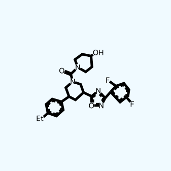 CCc1ccc(C2CC(c3nc(-c4cc(F)ccc4F)no3)CN(C(=O)N3CCC(O)CC3)C2)cc1